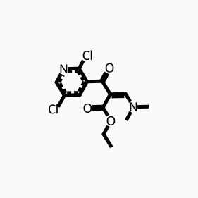 CCOC(=O)C(=CN(C)C)C(=O)c1cc(Cl)cnc1Cl